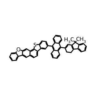 CC1(C)C2=C(CCC(c3c4ccccc4c(-c4ccc5sc6c7cc8oc9ccccc9c8cc7ccc6c5c4)c4ccccc34)=C2)c2ccccc21